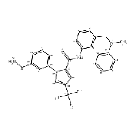 CN(Cc1cccc(NC(=O)c2cc(C(F)(F)F)nn2-c2cccc(CN)c2)c1)c1ccccc1